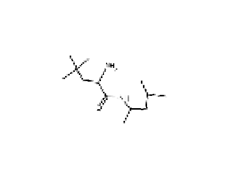 CC(C)CC(C)NC(=O)C(N)CC(C)(C)C